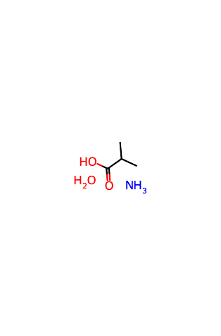 CC(C)C(=O)O.N.O